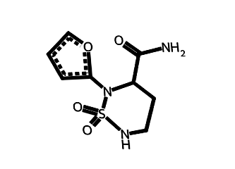 NC(=O)C1CCNS(=O)(=O)N1c1ccco1